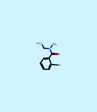 CCc1ccccc1C(=O)N(CC(=O)O)[N+](=O)[O-]